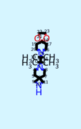 CC(C)(N1CCC2(CC1)CNC2)C(C)(C)N1CCC2(CC1)OCCO2